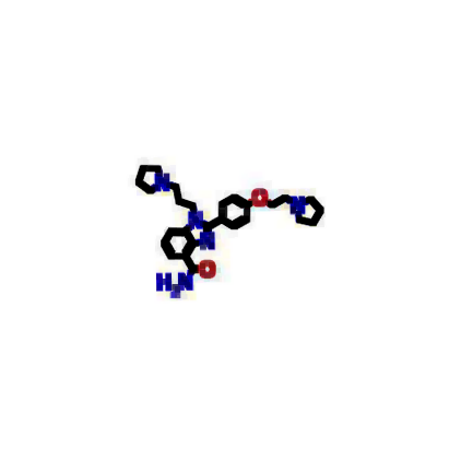 NC(=O)c1cccc2c1nc(-c1ccc(OCCN3CCCC3)cc1)n2CCCN1CCCC1